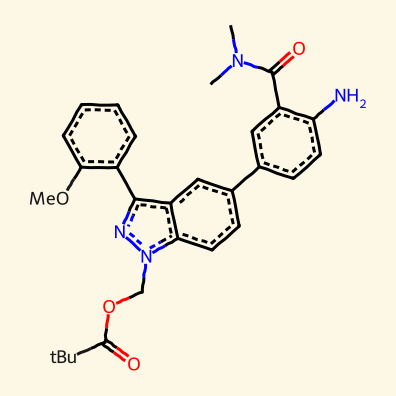 COc1ccccc1-c1nn(COC(=O)C(C)(C)C)c2ccc(-c3ccc(N)c(C(=O)N(C)C)c3)cc12